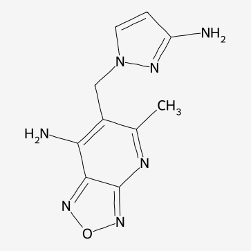 Cc1nc2nonc2c(N)c1Cn1ccc(N)n1